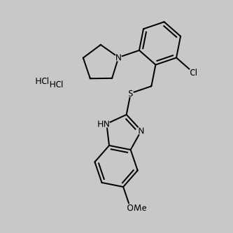 COc1ccc2[nH]c(SCc3c(Cl)cccc3N3CCCC3)nc2c1.Cl.Cl